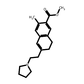 COC(=O)c1cc2c(cc1C)C=C(CCN1CCCC1)CC2